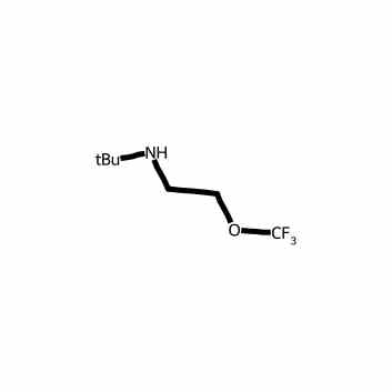 CC(C)(C)NCCOC(F)(F)F